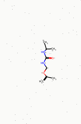 C=C(C)OCNC(=O)NC(C)C